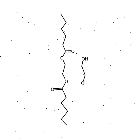 CCCCCC(=O)OCCOC(=O)CCCCC.OCCO